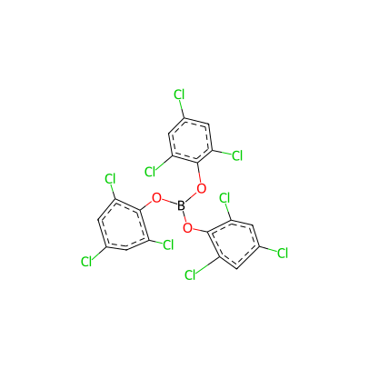 Clc1cc(Cl)c(OB(Oc2c(Cl)cc(Cl)cc2Cl)Oc2c(Cl)cc(Cl)cc2Cl)c(Cl)c1